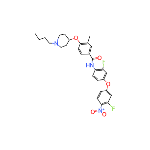 CCCCN1CCC(Oc2ccc(C(=O)Nc3ccc(Oc4ccc([N+](=O)[O-])c(F)c4)cc3F)cc2C)CC1